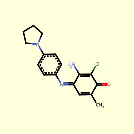 CC1=C/C(=N/c2ccc(N3CCCC3)cc2)C(N)=C(Cl)C1=O